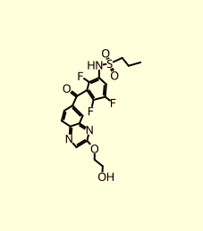 CCCS(=O)(=O)Nc1cc(F)c(F)c(C(=O)c2ccc3ncc(OCCO)nc3c2)c1F